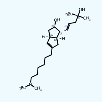 CCCC[C@](C)(O)C/C=C/[C@@H]1[C@H]2CC(CCCCCCN(C)C(C)(C)C)=C[C@H]2C[C@H]1O